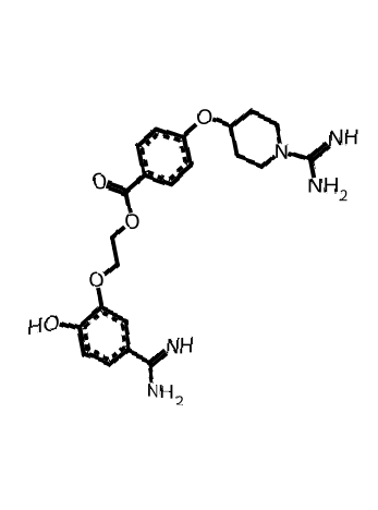 N=C(N)c1ccc(O)c(OCCOC(=O)c2ccc(OC3CCN(C(=N)N)CC3)cc2)c1